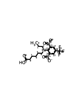 CCCN(CCCCCC(=O)O)c1c([N+](=O)[O-])cc(C(F)(F)F)cc1[N+](=O)[O-]